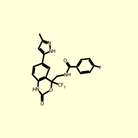 Cc1cc(-c2ccc3c(c2)C(CNC(=O)c2ccc(F)cc2)(C(F)(F)F)OC(=O)N3)[nH]n1